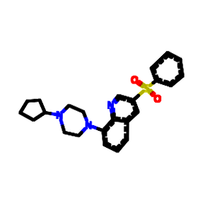 O=S(=O)(c1ccccc1)c1cnc2c(N3CCN(C4CCCC4)CC3)cccc2c1